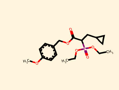 CCOP(=O)(OCC)C(CC1CC1)C(=O)OCc1ccc(OC)cc1